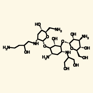 NCCC(O)CN[C@@H]1C[C@H](O)[C@@H](CN)O[C@@H]1OC1[C@@H](N)C[C@@H](NC(CO)CO)[C@H](O[C@H]2O[C@H](CO)[C@@H](O)[C@H](N)[C@H]2O)[C@H]1O